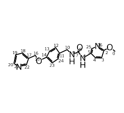 COc1ccc(NC(=O)NCc2ccc(OCc3cccnc3)cc2)cn1